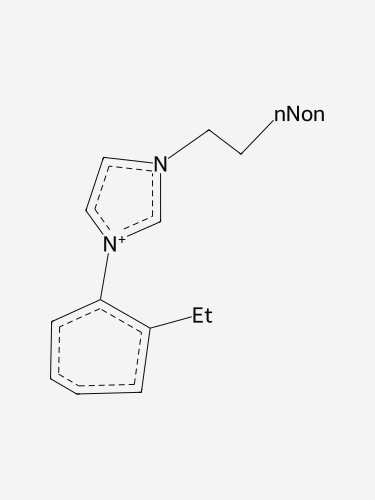 CCCCCCCCCCCn1cc[n+](-c2ccccc2CC)c1